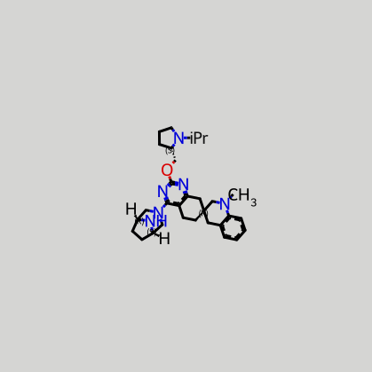 CC(C)N1CCC[C@H]1COc1nc2c(c(N3C[C@H]4CC[C@@H](C3)N4)n1)CC[C@@]1(Cc3ccccc3N(C)C1)C2